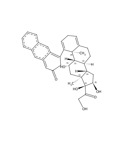 C[C@@]12C(=CCC=C1C1=c3cc4ccccc4cc3=CC(=O)C1)CC[C@@H]1[C@@H]2[C@@H](O)C[C@@]2(C)[C@H]1C[C@@H](O)[C@]2(O)C(=O)CO